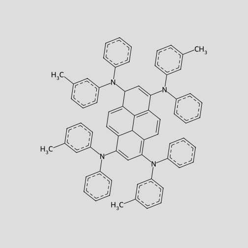 Cc1cccc(N(C2=CC(N(c3ccccc3)c3cccc(C)c3)=C3C=CC4=C5C(=CC=C2C35)C(N(c2ccccc2)c2cccc(C)c2)C=C4N(c2ccccc2)c2cccc(C)c2)c2ccccc2)c1